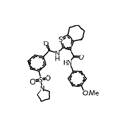 COc1ccc(NC(=O)c2c(NC(=O)c3cccc(S(=O)(=O)N4CCCC4)c3)sc3c2CCCC3)cc1